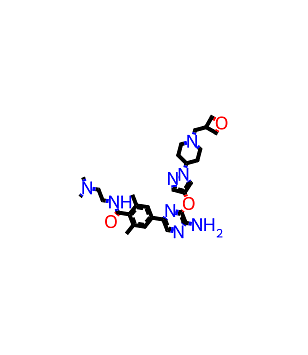 Cc1cc(-c2cnc(N)c(Oc3cnn(C4CCN(CC5COC5)CC4)c3)n2)cc(C)c1C(=O)NCCN(C)C